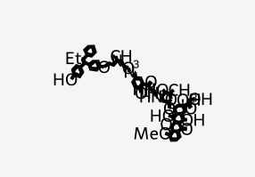 CCC(=C(c1ccc(O)cc1)c1ccc(OCCN(C)CCO/N=C/c2ccc(O)c(C(=O)NCNC3CC(O[C@H]4C[C@](O)(C(=O)CO)Cc5c(O)c6c(c(O)c54)C(=O)c4c(OC)cccc4C6=O)OC(C)C3O)c2)cc1)c1ccccc1